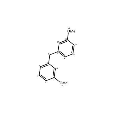 COc1c[c]cc(Cc2c[c]cc(OC)c2)c1